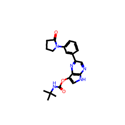 CC(C)(C)NC(=O)Oc1c[nH]c2ncc(-c3cccc(N4CCCC4=O)c3)nc12